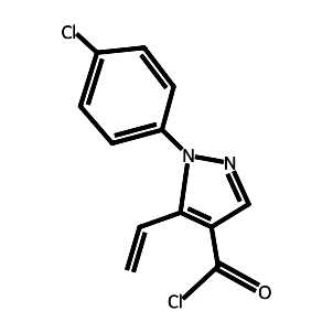 C=Cc1c(C(=O)Cl)cnn1-c1ccc(Cl)cc1